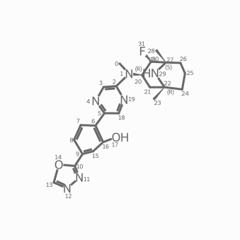 CN(c1cnc(-c2ccc(-c3nnco3)cc2O)cn1)[C@@H]1C[C@@]2(C)CCC[C@](C)(N2)[C@@H]1F